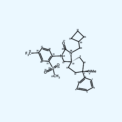 CN[C@]1(c2ccccc2)CC[C@]2(CC1)CN(c1ccc(C(F)(F)F)cc1S(C)(=O)=O)C(=O)N2CC1CCC1